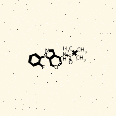 CC(C)(C)[S+]([O-])N[C@@H]1COCc2c1cnn2-c1ccccc1F